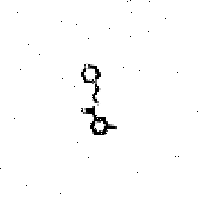 Cc1cccc(C(=O)OCCN2CCOCC2)c1